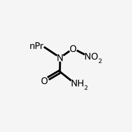 CCCN(O[N+](=O)[O-])C(N)=O